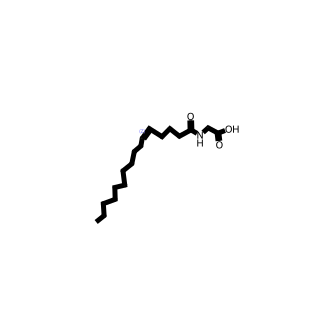 CCCCCCCCCC/C=C\CCCC(=O)NCC(=O)O